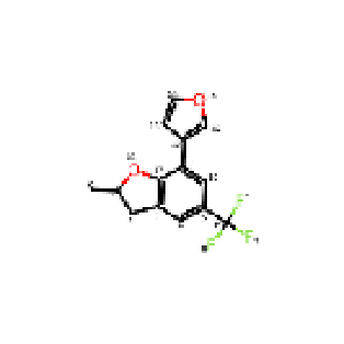 [CH2]C1Cc2cc(C(F)(F)F)cc(-c3ccoc3)c2O1